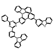 c1ccc(-c2nc(-c3cccc(-n4c5ccccc5c5ccccc54)c3)nc(-c3ccc(-c4cccc(-c5ccc6oc7ccccc7c6c5)c4)c(-n4c5ccccc5c5ccccc54)c3)n2)cc1